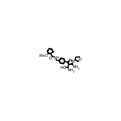 COc1ccccc1C(=O)NCc1ccc(-c2nn(C3CCOC3)c(N)c2C(N)O)cc1